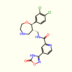 O=C(NC[C@@H]1CNCCO[C@H]1c1ccc(Cl)c(Cl)c1)c1cc(-c2noc(=O)[nH]2)ccn1